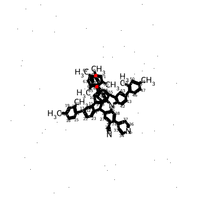 Cc1ccc(-c2ccc3c(c2)-c2cc(-c4ccc(C)cc4C)ccc2C3c2cc(C#N)c(-c3ccncc3)cc2-n2c3ccc(-c4ccc(C)cc4C)cc3c3cc(-c4ccc(C)cc4C)ccc32)c(C)c1